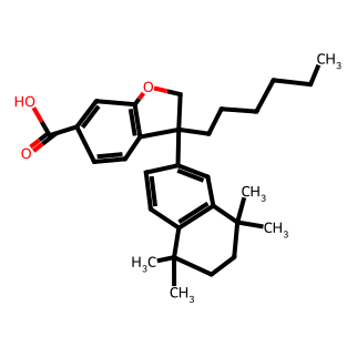 CCCCCCC1(c2ccc3c(c2)C(C)(C)CCC3(C)C)COc2cc(C(=O)O)ccc21